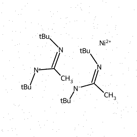 CC(=NC(C)(C)C)[N-]C(C)(C)C.CC(=NC(C)(C)C)[N-]C(C)(C)C.[Ni+2]